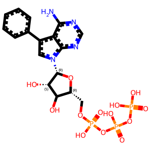 Nc1ncnc2c1c(-c1ccccc1)cn2[C@@H]1O[C@H](COP(=O)(O)OP(=O)(O)OP(=O)(O)O)C(O)[C@@H]1O